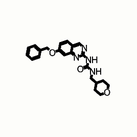 O=C(NCC1CCOCC1)Nc1ncc2ccc(OCc3ccccc3)cc2n1